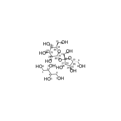 OCC(O)C(O)CO.OC[C@H]1O[C@@](CO)(O[C@H]2O[C@H](CO)[C@@H](O)[C@H](O)[C@H]2O)[C@@H](O)[C@@H]1O